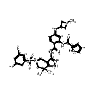 CN1CC(Oc2ccc(C(=O)Nc3n[nH]c4c3CN(S(=O)(=O)c3cc(F)cc(F)c3)CC4(C)C)c(NC(=O)c3ccc[nH]3)c2)C1